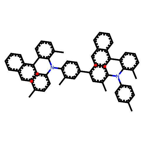 Cc1ccc(N(c2ccc(-c3ccc(N(c4ccc(C)cc4)c4c(C)cccc4-c4cccc5ccccc45)c(C)c3)cc2C)c2c(C)cccc2-c2cccc3ccccc23)cc1